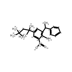 CC(c1ccccc1)c1cc(C(C)(C)CC(C)(C)C)cc([N+](=O)[O-])c1N